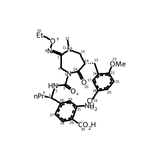 CCC[C@@H](NC(=O)N1C/C(=N/OCC)N(C)C[C@H](Cc2cc(Cl)ccc2OC)C1=O)c1ccc(C(=O)O)c(N)c1